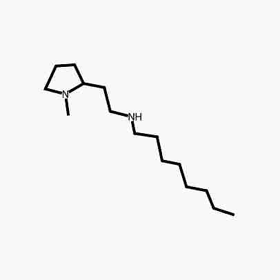 CCCCCCCCNCCC1CCCN1C